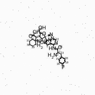 N#C[C@@]1(c2ccc3c(NC(=O)C(N)Cc4ccc(F)cc4)ncnn23)OC(CO)[C@@H](C(C(=O)O)C2(N)CCCCC2)[C@H]1O